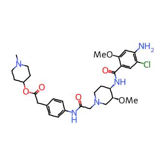 COc1cc(N)c(Cl)cc1C(=O)N[C@@H]1CCN(CC(=O)Nc2ccc(CC(=O)OC3CCN(C)CC3)cc2)C[C@@H]1OC